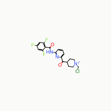 C[N+]1(CCl)CCC(C(=O)c2cccc(NC(=O)c3c(F)cc(F)cc3F)n2)CC1